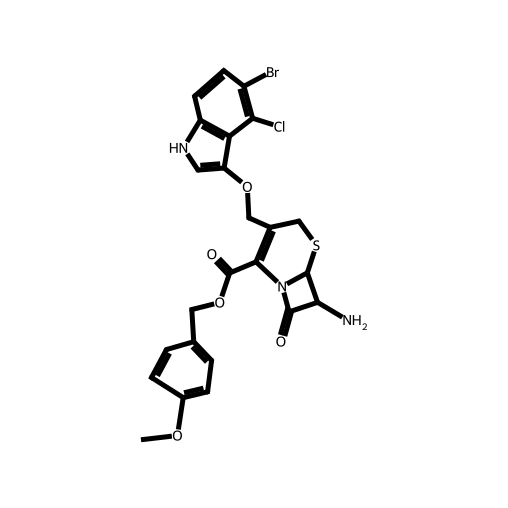 COc1ccc(COC(=O)C2=C(COc3c[nH]c4ccc(Br)c(Cl)c34)CSC3C(N)C(=O)N23)cc1